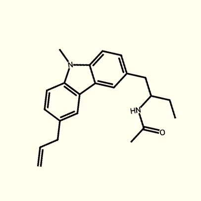 C=CCc1ccc2c(c1)c1cc(CC(CC)NC(C)=O)ccc1n2C